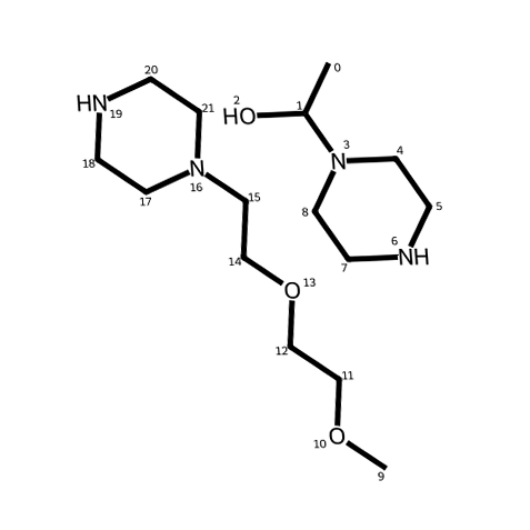 CC(O)N1CCNCC1.COCCOCCN1CCNCC1